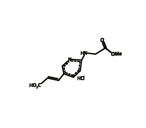 COC(=O)CNc1ccc(C=CC(=O)O)cn1.Cl